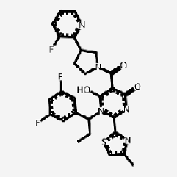 CCC(c1cc(F)cc(F)c1)n1c(-c2nc(C)cs2)nc(=O)c(C(=O)N2CCC(c3ncccc3F)C2)c1O